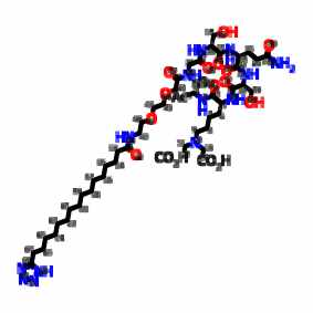 CCCC[C@H](NC(=O)[C@H](CCCCN(CC(=O)O)CC(=O)O)NC(=O)[C@H](CO)NC(=O)[C@H](CCC(N)=O)NC(=O)[C@H](CO)NC(=O)CNC(=O)COCCOCCNC(=O)CCCCCCCCCCCCCCCc1nnn[nH]1)C(C)=O